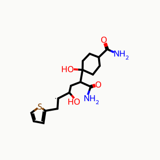 NC(=O)C1CCC(O)(C(CC(O)[CH]Cc2cccs2)C(N)=O)CC1